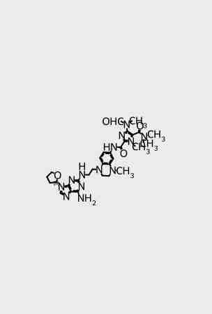 CN(C)C(=O)c1c(N(C)C=O)nc(C(=O)Nc2ccc3c(c2)N(C)CCN3CCNc2nc(N)c3ncn([C@H]4CCCO4)c3n2)n1C